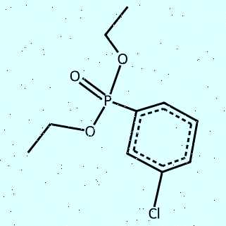 CCOP(=O)(OCC)c1cccc(Cl)c1